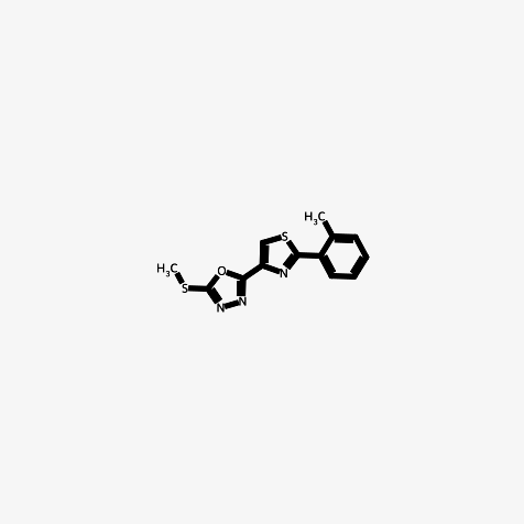 CSc1nnc(-c2csc(-c3ccccc3C)n2)o1